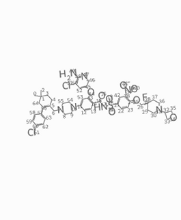 CC1(C)CCC(CN2CCN(c3ccc(C(=O)NS(=O)(=O)c4ccc(OCC5(F)CCN(C6COC6)CC5)c([N+](=O)[O-])c4)c(Oc4cnc(N)c(Cl)c4)c3)CC2)=C(c2ccc(Cl)cc2)C1